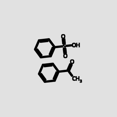 CC(=O)c1ccccc1.O=S(=O)(O)c1ccccc1